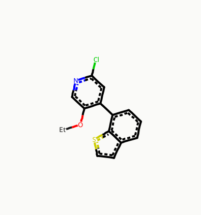 CCOc1cnc(Cl)cc1-c1cccc2ccsc12